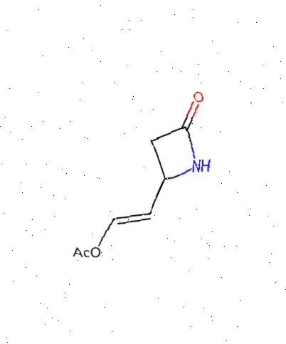 CC(=O)OC=CC1CC(=O)N1